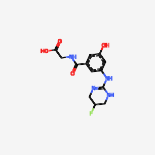 O=C(O)CNC(=O)c1cc(O)cc(NC2=NCC(F)CN2)c1